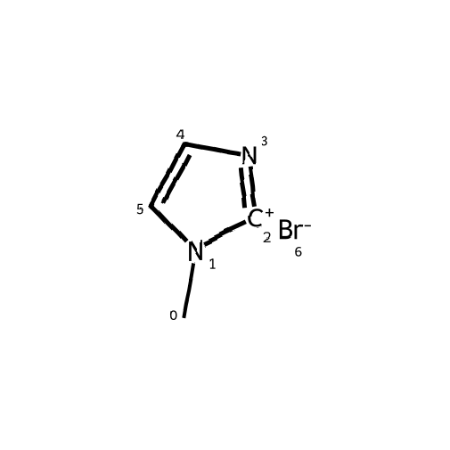 CN1[C+]=NC=C1.[Br-]